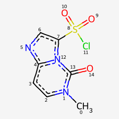 Cn1ccc2ncc(S(=O)(=O)Cl)n2c1=O